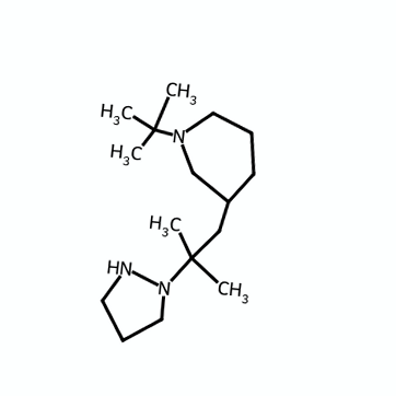 CC(C)(C)N1CCCC(CC(C)(C)N2CCCN2)C1